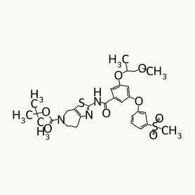 COCC(C)Oc1cc(Oc2cccc(S(C)(=O)=O)c2)cc(C(=O)Nc2nc3c(s2)CN(C(=O)OC(C)(C)C)CC3)c1